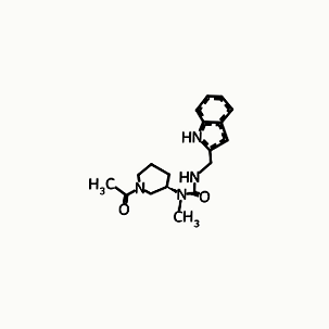 CC(=O)N1CCC[C@@H](N(C)C(=O)NCc2cc3ccccc3[nH]2)C1